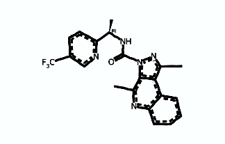 Cc1nn(C(=O)N[C@H](C)c2ccc(C(F)(F)F)cn2)c2c(C)nc3ccccc3c12